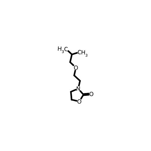 CC(C)COCCN1CCOC1=O